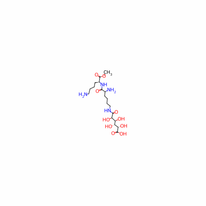 COC(=O)[C@H](CCCCN)NC(=O)C(N)CCCCNC(=O)[C@H](O)[C@@H](O)[C@@H](O)[C@H](O)C(=O)O